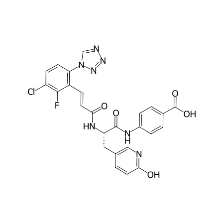 O=C(C=Cc1c(-n2cnnn2)ccc(Cl)c1F)N[C@@H](Cc1ccc(O)nc1)C(=O)Nc1ccc(C(=O)O)cc1